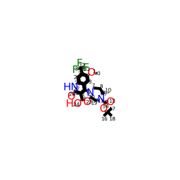 COc1cc2c(N3CC[C@H](C)N(C(=O)OC(C)(C)C)CC3)c(C(=O)O)c(=O)[nH]c2cc1C(F)(F)F